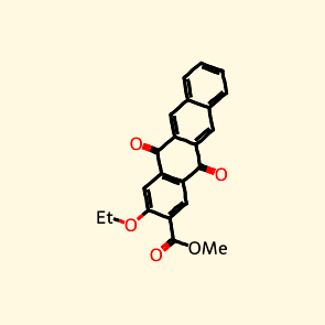 CCOc1cc2c(cc1C(=O)OC)C(=O)c1cc3ccccc3cc1C2=O